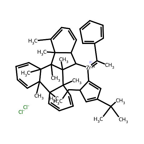 CCC1C=C(C(C)(C)C)C=[C]1/[Zr+2](=[C](\C)c1ccccc1)[CH]1C2C=CC=C(C)C2(C)C2(C)C3(C)C=CC=CC3(C)C3(C)C=CC=CC3(C)C12C.[Cl-].[Cl-]